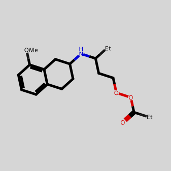 CCC(=O)OOCCC(CC)NC1CCc2cccc(OC)c2C1